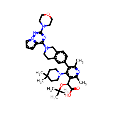 Cc1nc(C)c([C@H](OC(C)(C)C)C(=O)O)c(N2CCC(C)(C)CC2)c1-c1ccc2c(c1)CCN(c1nc(N3CCOCC3)nn3cccc13)C2